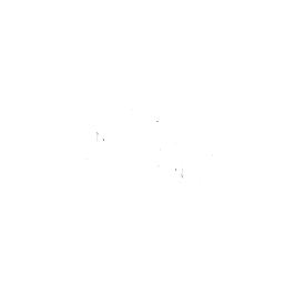 C=C(CC)C1(C(N)=O)CCc2ncccc21